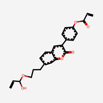 C=CC(=O)Oc1ccc(-c2cc3ccc(CCCOC(O)C=C)cc3oc2=O)cc1